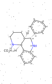 O=C(O)N1CCC[C@@H]2[C@H]1c1ccccc1N[C@H]2c1ccccc1